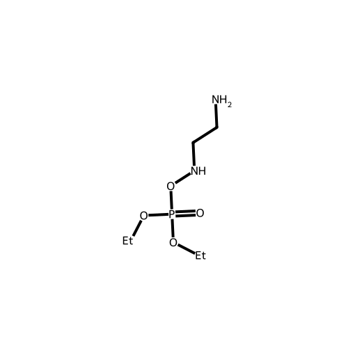 CCOP(=O)(OCC)ONCCN